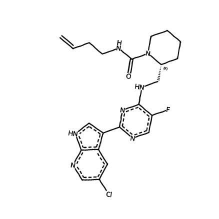 C=CCCNC(=O)N1CCCC[C@@H]1CNc1nc(-c2c[nH]c3ncc(Cl)cc23)ncc1F